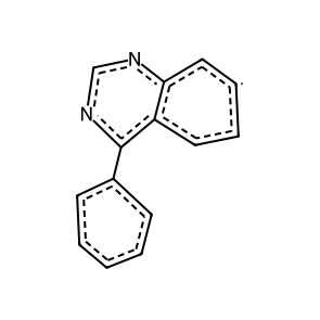 [c]1ccc2c(-c3ccccc3)ncnc2c1